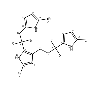 CCc1nc(CCC(C)(C)c2ccc(C)[nH]2)c(C(C)(C)Cc2ccc(C(C)(C)C)[nH]2)[nH]1